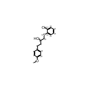 COc1ccc(CCC(O)CSc2ccccc2Cl)cc1